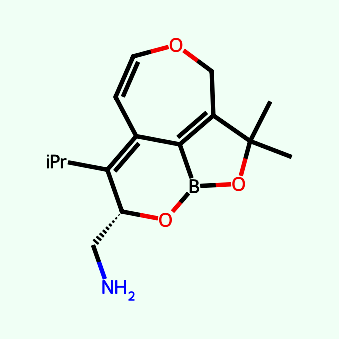 CC(C)C1=C2C=COCC3=C2B(O[C@@H]1CN)OC3(C)C